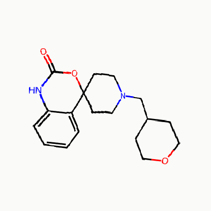 O=C1Nc2ccccc2C2(CCN(CC3CCOCC3)CC2)O1